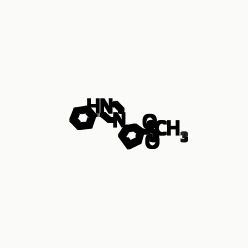 CS(=O)(=O)c1cccc(N2CCN[C@@H](c3ccccc3)C2)c1